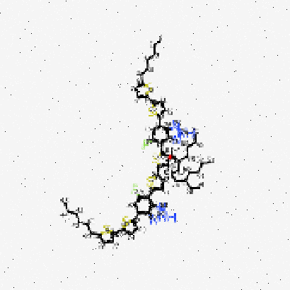 CCCCCCc1ccc(-c2ccc(-c3cc(F)c(-c4cc5c(s4)-c4sc(-c6c(F)cc(-c7ccc(-c8ccc(CCCCCC)s8)s7)c7n[nH]nc67)cc4[Si]5(CC(CC)CCCC)CC(CC)CCCC)c4n[nH]nc34)s2)s1